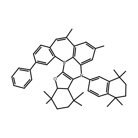 CC1=Cc2ccc(-c3ccccc3)cc2B2C3=C(C4C(O3)C(C)(C)CCC4(C)C)N(c3ccc4c(c3)C(C)(C)CCC4(C)C)c3cc(C)cc1c32